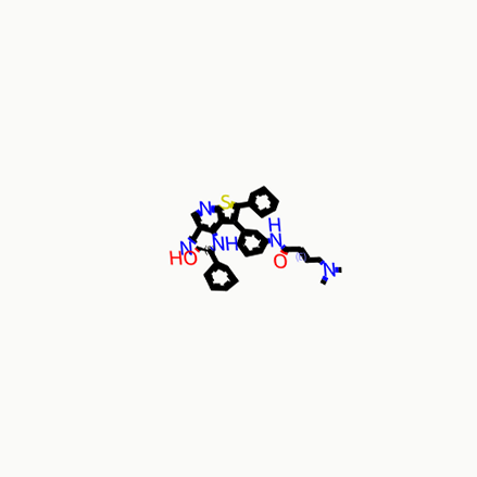 CN(C)C/C=C/C(=O)Nc1cccc(-c2c(-c3ccccc3)sc3ncc(C#N)c(N[C@H](CO)c4ccccc4)c23)c1